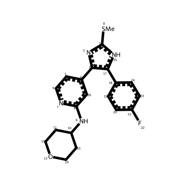 CSc1nc(-c2ccnc(NC3CCOCC3)c2)c(-c2ccc(F)cc2)[nH]1